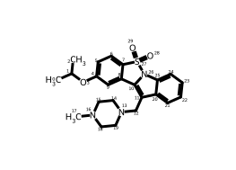 CC(C)Oc1ccc2c(c1)-c1c(CN3CCN(C)CC3)c3ccccc3n1S2(=O)=O